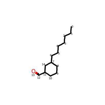 CCCCCCCC1CCCC(C=O)C1